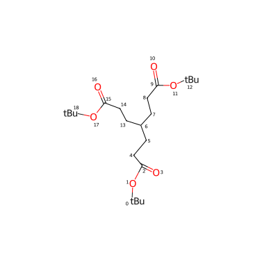 CC(C)(C)OC(=O)CCC(CCC(=O)OC(C)(C)C)CCC(=O)OC(C)(C)C